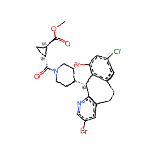 COC(=O)[C@@H]1C[C@H]1C(=O)N1CCC([C@H]2c3ncc(Br)cc3CCc3cc(Cl)cc(Br)c32)CC1